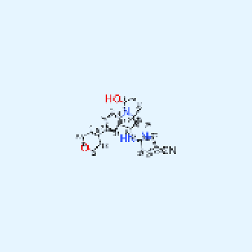 CC(O)N1c2ccc(C3=CCOCC3)cc2C(Nc2ccc(C#N)cn2)[C@@H](C)[C@@H]1C